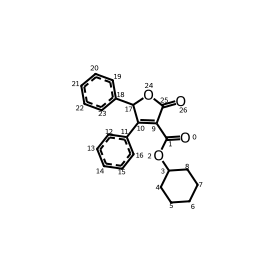 O=C(OC1CCCCC1)C1=C(c2ccccc2)C(c2ccccc2)OC1=O